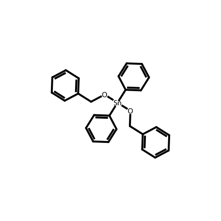 c1ccc(C[O][Sn]([O]Cc2ccccc2)([c]2ccccc2)[c]2ccccc2)cc1